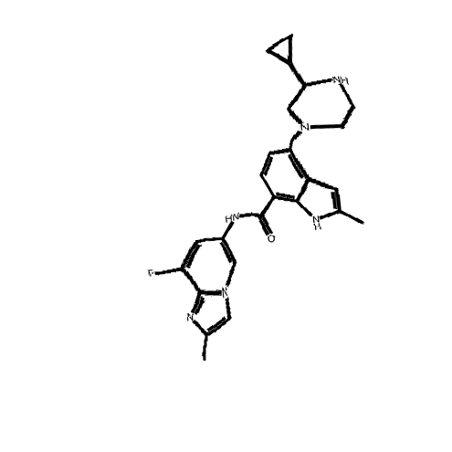 Cc1cn2cc(NC(=O)c3ccc(N4CCNC(C5CC5)C4)c4cc(C)[nH]c34)cc(F)c2n1